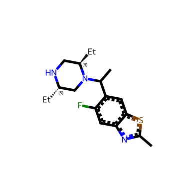 CC[C@H]1CN(C(C)c2cc3sc(C)nc3cc2F)[C@H](CC)CN1